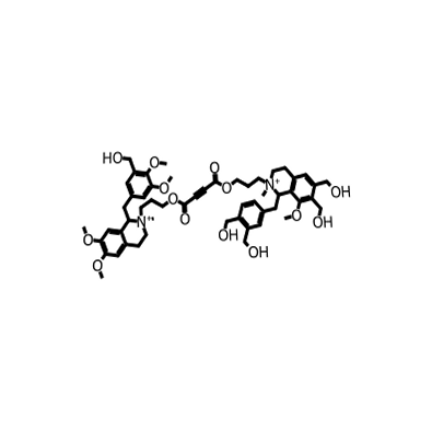 COc1cc2c(cc1OC)C(Cc1cc(CO)c(OC)c(OC)c1)[N+](C)(CCCOC(=O)C#CC(=O)OCCC[N+]1(C)CCc3cc(CO)c(CO)c(OC)c3C1Cc1ccc(CO)c(CO)c1)CC2